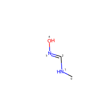 CN[C]=NO